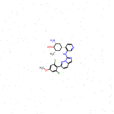 COc1cc(F)c(-c2ccc3cnc(Nc4cnccc4[C@H]4C[C@@H](N)[C@H](O)[C@@H](C)C4)n3n2)c(F)c1